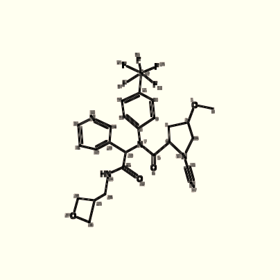 COC1CC(C(=O)N(c2ccc(S(F)(F)(F)(F)F)cc2)C(C(=O)NCC2COC2)c2cccnc2)N(C#N)C1